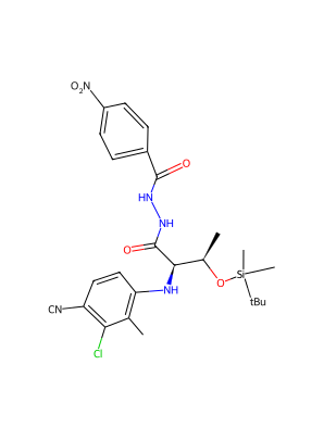 [C-]#[N+]c1ccc(N[C@@H](C(=O)NNC(=O)c2ccc([N+](=O)[O-])cc2)[C@@H](C)O[Si](C)(C)C(C)(C)C)c(C)c1Cl